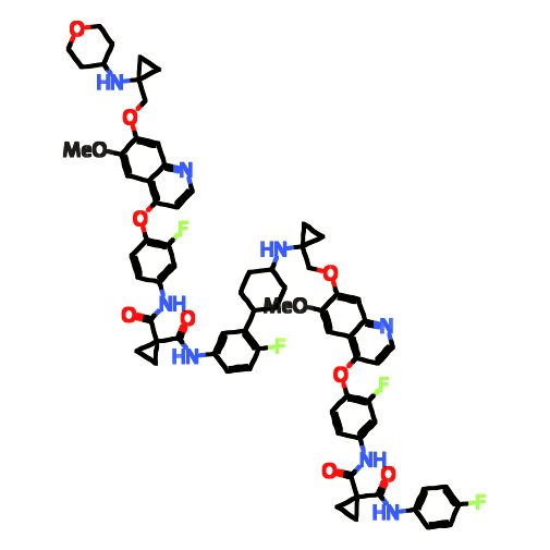 COc1cc2c(Oc3ccc(NC(=O)C4(C(=O)Nc5ccc(F)c(C6CCC(NC7(COc8cc9nccc(Oc%10ccc(NC(=O)C%11(C(=O)Nc%12ccc(F)cc%12)CC%11)cc%10F)c9cc8OC)CC7)CC6)c5)CC4)cc3F)ccnc2cc1OCC1(NC2CCOCC2)CC1